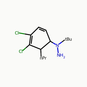 CCCC1C(Cl)=C(Cl)C=CC1N(N)C(C)(C)C